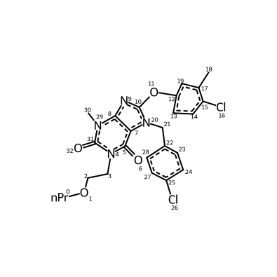 CCCOCCn1c(=O)c2c(nc(Oc3ccc(Cl)c(C)c3)n2Cc2ccc(Cl)cc2)n(C)c1=O